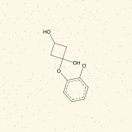 OC1CC(O)(Oc2ccccc2Cl)C1